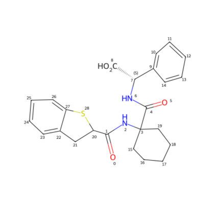 O=C(NC1(C(=O)N[C@H](C(=O)O)c2ccccc2)CCCCC1)C1Cc2ccccc2S1